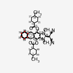 CC1CCC(C(=O)Oc2c3c(c(OC(=O)C4CCC(C)CC4)c4c2N(C)C(=C(C#N)C#N)N4C)C2c4ccccc4C3c3ccccc32)CC1